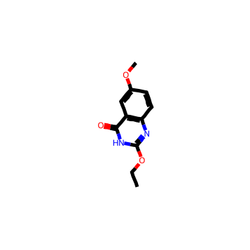 CCOc1nc2ccc(OC)cc2c(=O)[nH]1